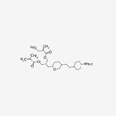 C=C(C)C(=O)OCC(COC(=O)C(=C)CO)CC1CCC(CCC2CCC(CCCCC)CC2)CO1